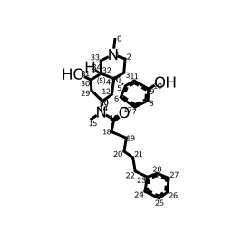 CN1CC[C@@]2(c3cccc(O)c3)C[C@@H](N(C)C(=O)CCCCCc3ccccc3)CC(O)[C@@H]2C1